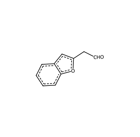 O=CCc1cc2ccccc2o1